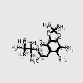 Bc1c(B)c2c(c(B)c1C[C@H](C)NC(B)(B)C(B)(B)B)OC(B)(B)O2